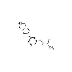 CC(=O)OCc1cncc(C2=CC3CNCC3C2)c1